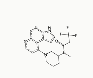 CN(C(=O)CC(F)(F)F)C1CCCN(c2ccnc3cnc4[nH]ccc4c23)C1